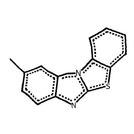 Cc1ccc2nc3sc4ccccc4n3c2c1